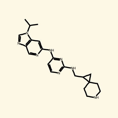 CC(C)n1cnc2cnc(Nc3ccnc(NCC4CC45CCNCC5)n3)cc21